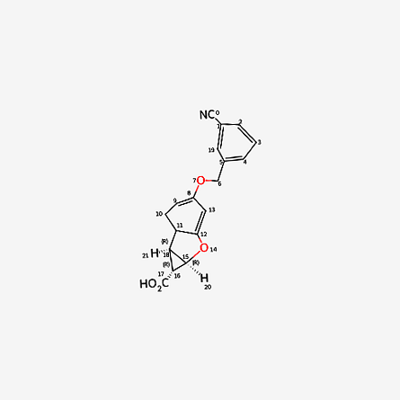 N#Cc1cccc(COC2=CCC3C(=C2)O[C@H]2[C@H](C(=O)O)[C@@H]32)c1